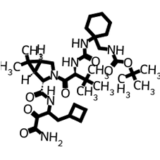 CC(C)(C)OC(=O)NCC1(NC(=O)N[C@H](C(=O)N2C[C@H]3[C@@H]([C@H]2C(=O)NC(CC2CCC2)C(=O)C(N)=O)C3(C)C)C(C)(C)C)CCCCC1